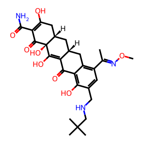 CO/N=C(\C)c1cc(CNCC(C)(C)C)c(O)c2c1C[C@H]1C[C@H]3CC(O)=C(C(N)=O)C(=O)[C@@]3(O)C(O)=C1C2=O